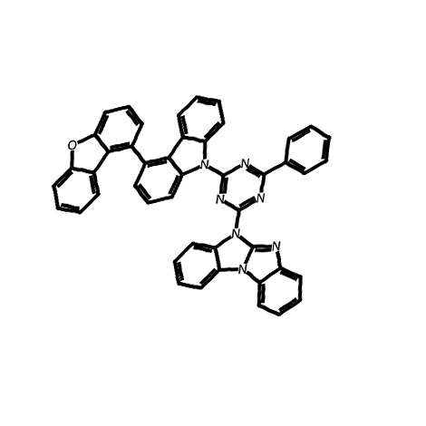 c1ccc(-c2nc(-n3c4ccccc4c4c(-c5cccc6oc7ccccc7c56)cccc43)nc(-n3c4ccccc4n4c5ccccc5nc34)n2)cc1